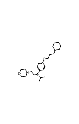 CC(C)N(CCN1CCOCC1)c1ccc(OCCCN2CCCCC2)cc1